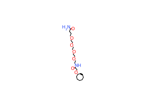 NC(=O)CCCOCCOCCOCCOCCNC(=O)COC1C#CCCCCC1